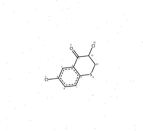 O=C1c2cc(Cl)ccc2SCC1Cl